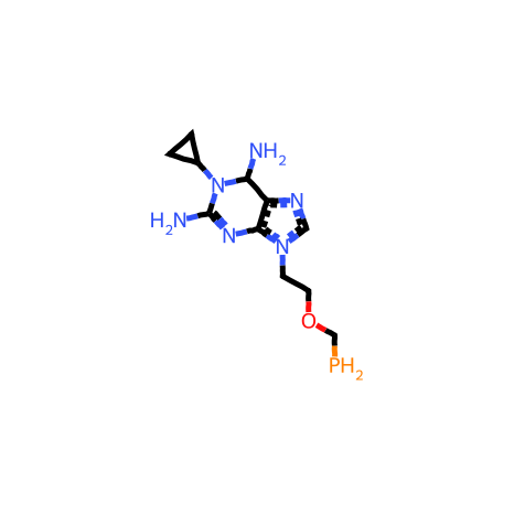 NC1=Nc2c(ncn2CCOCP)C(N)N1C1CC1